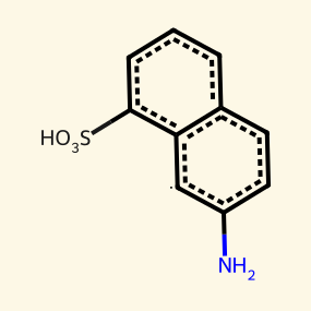 Nc1[c]c2c(S(=O)(=O)O)cccc2cc1